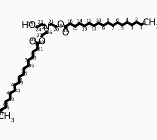 CCCCCCCCCCCCCCCCCC(=O)OCCN(CCO)CCOC(=O)CCCCCCCCCCCCCCCCC